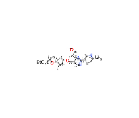 CCOC(=O)C(C)(C)Oc1ccc(OCc2cnc(-c3ccc(C(F)(F)F)nc3)nc2CCO)cc1C